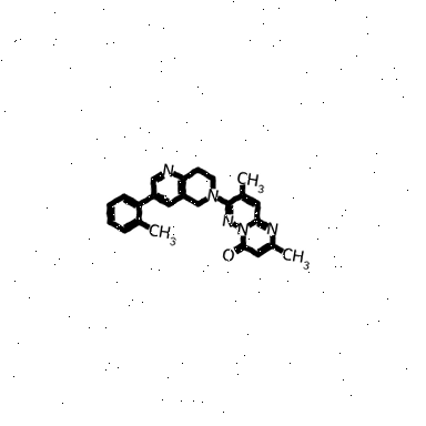 Cc1cc(=O)n2nc(N3CCc4ncc(-c5ccccc5C)cc4C3)c(C)cc2n1